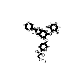 CCS(=O)(=O)c1ccc(Oc2cc3[nH]c(-c4cnccn4)nc3cc2Oc2c(F)cccc2F)cn1